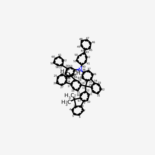 CC1(C)c2ccccc2-c2ccc(C3(c4ccc5c(c4)C(C)(C)c4ccccc4-5)c4ccccc4-c4ccc(N(c5ccc(-c6ccccc6)cc5)c5cccc(-c6ccccc6)c5)cc43)cc21